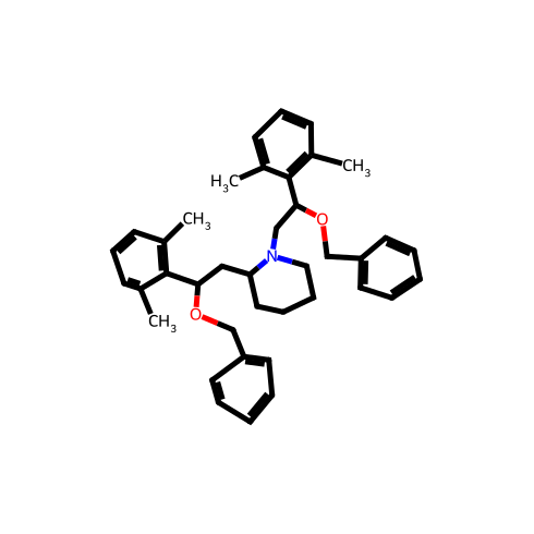 Cc1cccc(C)c1C(CC1CCCCN1CC(OCc1ccccc1)c1c(C)cccc1C)OCc1ccccc1